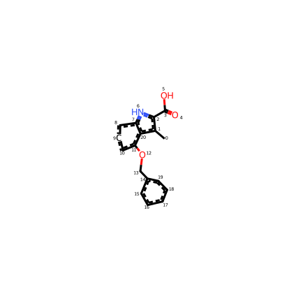 Cc1c(C(=O)O)[nH]c2cccc(OCc3ccccc3)c12